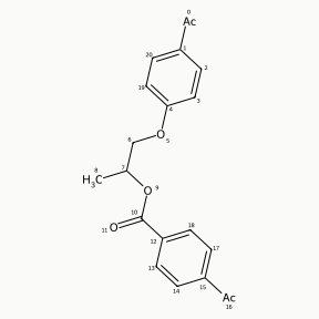 CC(=O)c1ccc(OCC(C)OC(=O)c2ccc(C(C)=O)cc2)cc1